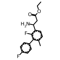 CCOC(=O)CC(N)c1ccc(C)c(-c2ccc(F)cc2)c1F